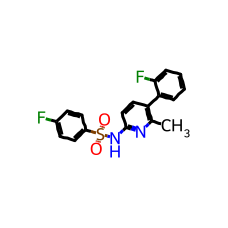 Cc1nc(NS(=O)(=O)c2ccc(F)cc2)ccc1-c1ccccc1F